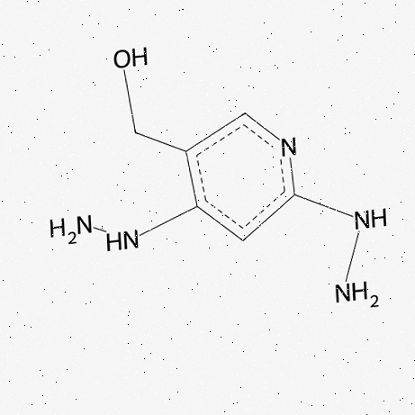 NNc1cc(NN)c(CO)cn1